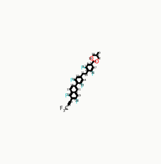 CC1COC(c2cc(F)c(CCc3cc(F)c(-c4ccc5c(F)c(C#CC(F)(F)F)c(F)cc5c4)c(F)c3)c(F)c2)OC1